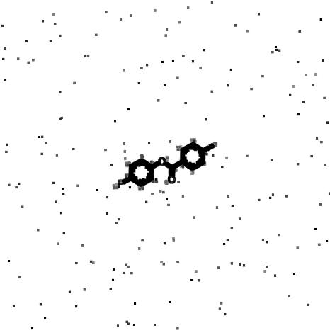 Cc1ccc(C(=O)Oc2ccc(F)cc2)cc1